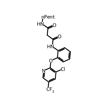 CCCCCNC(=O)CC(=O)Nc1ccccc1Oc1ncc(C(F)(F)F)cc1Cl